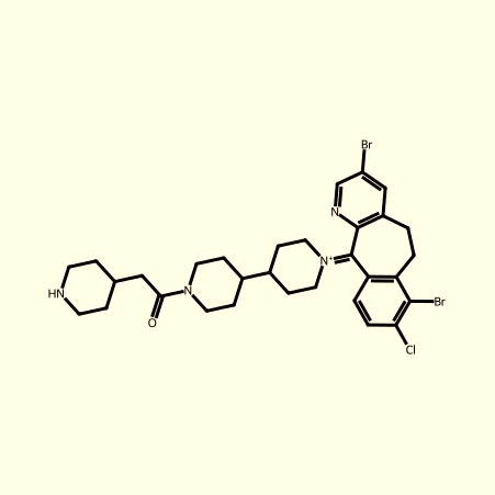 O=C(CC1CCNCC1)N1CCC(C2CC[N+](=C3c4ccc(Cl)c(Br)c4CCc4cc(Br)cnc43)CC2)CC1